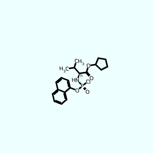 CC(C)[C@H](NP(=O)(Cl)Oc1cccc2ccccc12)C(=O)OC1CCCC1